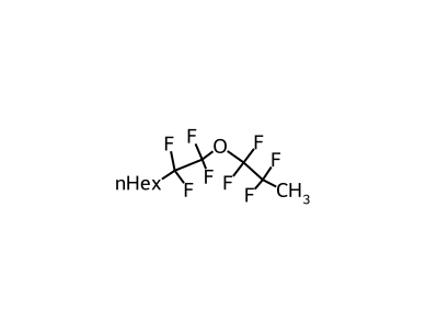 CCCCCCC(F)(F)C(F)(F)OC(F)(F)C(C)(F)F